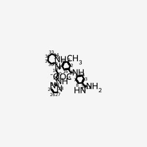 Cc1cc(C(Nc2ccc(C(=N)N)cc2)C(=O)[O-])cc([N+](CCCNc2ncccn2)=C2CCCCCN2)c1